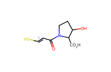 O=C(O)C1C(O)CCN1C(=O)/C=C/S